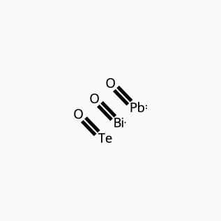 O=[Te].[O]=[Bi].[O]=[Pb]